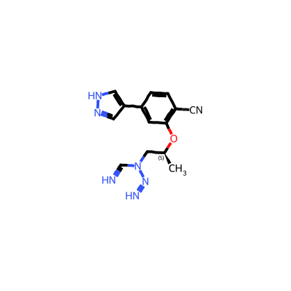 C[C@@H](CN(C=N)N=N)Oc1cc(-c2cn[nH]c2)ccc1C#N